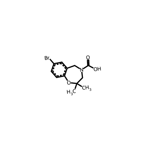 CC1(C)CN(C(=O)O)Cc2cc(Br)ccc2O1